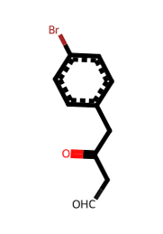 O=CCC(=O)Cc1ccc(Br)cc1